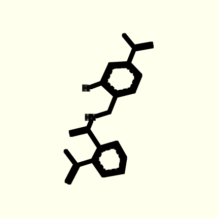 C=C(C)c1ccc(CNC(=C)c2ccccc2C(=C)C)c(CC)c1